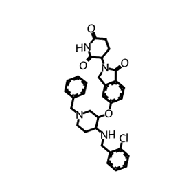 O=C1CCC(N2Cc3cc(OC4CN(Cc5ccccc5)CCC4NCc4ccccc4Cl)ccc3C2=O)C(=O)N1